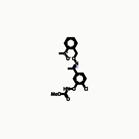 COC(=O)NOc1cc(/C(C)=N/OCc2ccccc2[S+](C)[O-])ccc1Cl